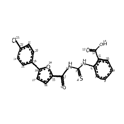 O=C(NC(=S)Nc1ccccc1C(=O)O)c1ccc(-c2ccc(Cl)cc2)o1